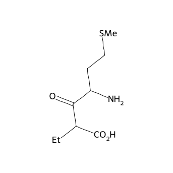 CCC(C(=O)O)C(=O)C(N)CCSC